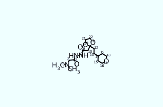 CN(C)CC(=O)NNC(=O)CC1(CCC2CCOCC2)OCCO1